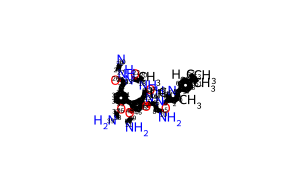 Cc1cc(C(=O)NC(CCN)C(=O)N(C)C2C(=O)NC(C)C(=O)NC(C(=O)NCC#N)Cc3ccc(OCCN)c(c3)-c3cc2ccc3OCCN)c(C)nc1-c1ccc(C(C)(C)C)cc1